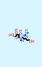 CNc1nc(CCO)c2ncn([C@@H]3O[C@H](CO)[C@@H](O)[C@H]3O)c2n1